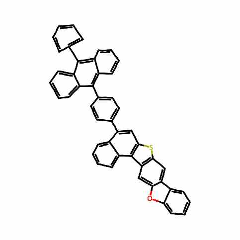 c1ccc(-c2c3ccccc3c(-c3ccc(-c4cc5sc6cc7c(cc6c5c5ccccc45)oc4ccccc47)cc3)c3ccccc23)cc1